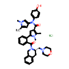 Cc1c(C(=O)N(c2ccc(O)cc2)c2cc(C#N)n(C)c2)cc(-c2ccccc2C(=O)N2Cc3ccccc3C[C@H]2CN2CCOCC2)n1C.Cl